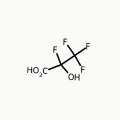 O=C(O)C(O)(F)C(F)(F)F